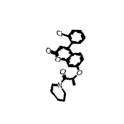 CC(Oc1ccc2c(-c3ccccc3Cl)cc(=O)oc2c1)C(=O)N1CCCCC1